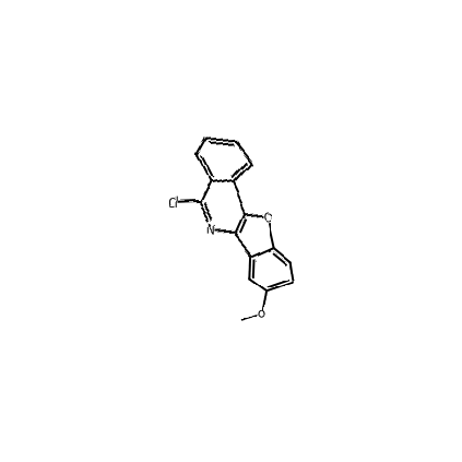 COc1ccc2oc3c4ccccc4c(Cl)nc3c2c1